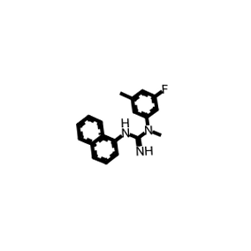 Cc1cc(F)cc(N(C)C(=N)Nc2cccc3ccccc23)c1